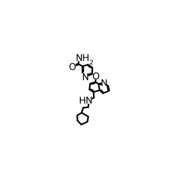 NC(=O)c1ccc(Oc2ccc(CNCCC3CCCCC3)c3cccnc23)nc1